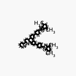 Cc1ccc(C)c2oc(-c3ccc(-c4ccc(-c5ccc(-c6ccccn6)nc5-c5ccc(-c6ccc(-c7nc8c(C)ccc(C)c8o7)cc6)cc5)cc4)cc3)nc12